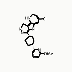 COc1cccc([C@H]2CC[C@H](C3=c4[nH]c5c(c4CN=N3)NCC=C(Cl)C=5)CC2)n1